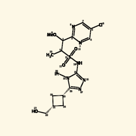 COC(c1ncc(Cl)cn1)C(C)S(=O)(=O)Nc1nnc([C@H]2C[C@@H](CO)C2)n1C(C)C